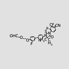 CC1(C)C(=O)N(c2ccc(C#N)c(C(F)(F)F)c2F)C(=S)N1c1ccc(-c2ccc(OCCOCC=O)c(F)c2)nc1